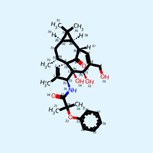 CC1=C[C@]23C(=O)[C@@H](C=C(CO)[C@@H](O)[C@]2(O)[C@H]1NC(=O)C(C)(C)Oc1ccccc1)[C@H]1[C@@H](C[C@H]3C)C1(C)C